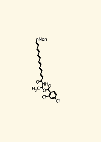 CCCCCCCCCC=CC=CC=CC=CC=CC=CC(=O)NC(C)OC(=O)c1ccc(Cl)cc1Cl